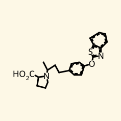 CC(CCc1ccc(Oc2nc3ccccc3s2)cc1)N1CCCC1C(=O)O